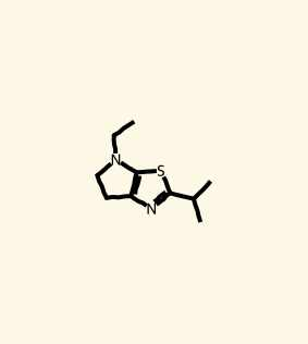 CCN1CCc2nc(C(C)C)sc21